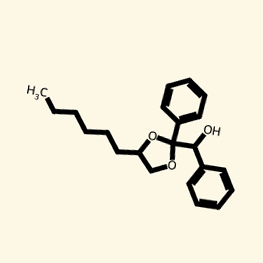 CCCCCCC1COC(c2ccccc2)(C(O)c2ccccc2)O1